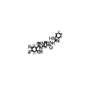 O=C(NCc1nc2ccccc2[nH]1)c1cc(NC(=O)c2cc(F)c(F)cc2Cl)[nH]n1